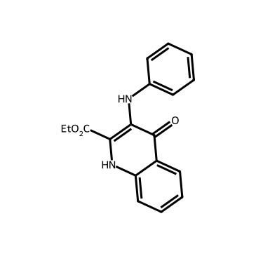 CCOC(=O)c1[nH]c2ccccc2c(=O)c1Nc1ccccc1